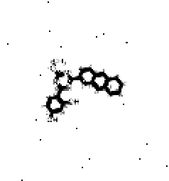 COc1nc(-c2ccc3cc4c(cc3c2)C=CCC4)nc(-c2ccc(O)cc2O)n1